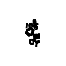 C=C(C)C(=O)Nc1cccc(NS(C)(=O)=O)c1